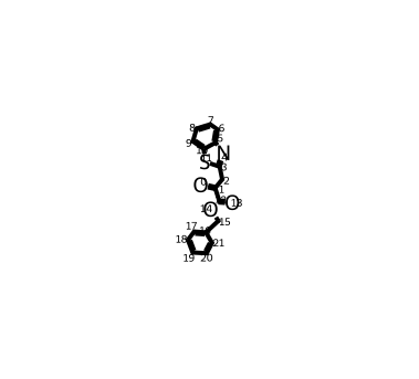 O=C(Cc1nc2ccccc2s1)C(=O)OCc1ccccc1